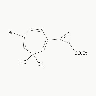 CCOC(=O)C1C=C1C1=CC(C)(C)C=C(Br)C=N1